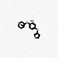 Cl.c1cc(Oc2ccc(OC3CN4CCC3CC4)cc2)cs1